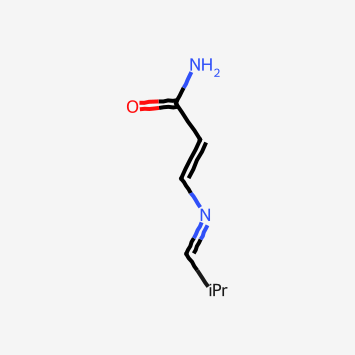 CC(C)C=NC=CC(N)=O